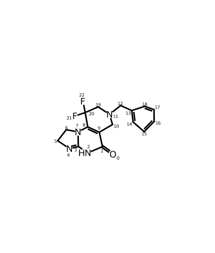 O=C1NC2=NCCN2C2=C1CN(Cc1ccccc1)CC2(F)F